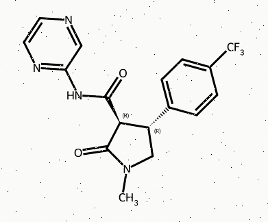 CN1C[C@@H](c2ccc(C(F)(F)F)cc2)[C@H](C(=O)Nc2cnccn2)C1=O